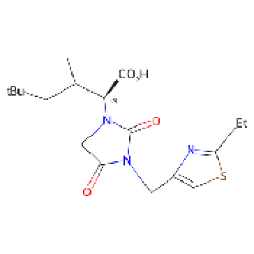 CCc1nc(CN2C(=O)CN([C@H](C(=O)O)C(C)CC(C)(C)C)C2=O)cs1